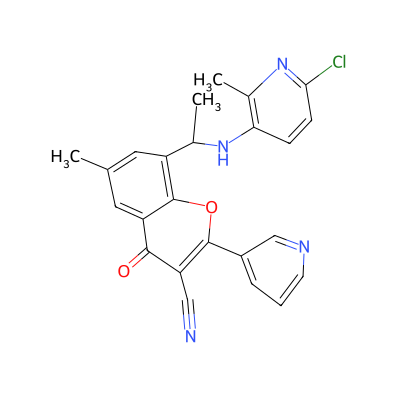 Cc1cc(C(C)Nc2ccc(Cl)nc2C)c2oc(-c3cccnc3)c(C#N)c(=O)c2c1